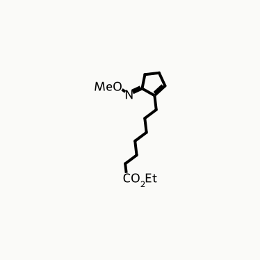 CCOC(=O)CCCCCCC1=CCCC1=NOC